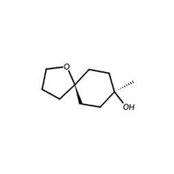 C[C@]1(O)CC[C@]2(CCCO2)CC1